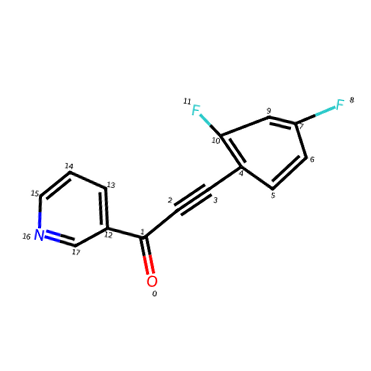 O=C(C#Cc1ccc(F)cc1F)c1cccnc1